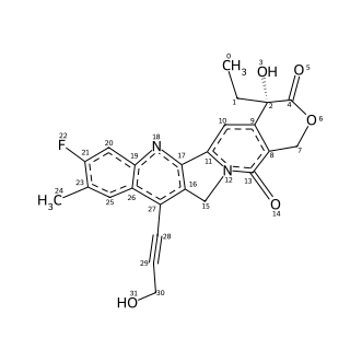 CC[C@@]1(O)C(=O)OCc2c1cc1n(c2=O)Cc2c-1nc1cc(F)c(C)cc1c2C#CCO